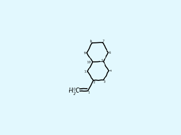 C=CC1CCC2CCCCC2C1